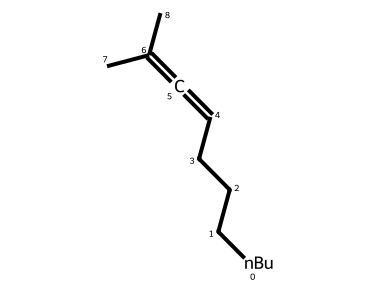 CCCCCCCC=C=C(C)C